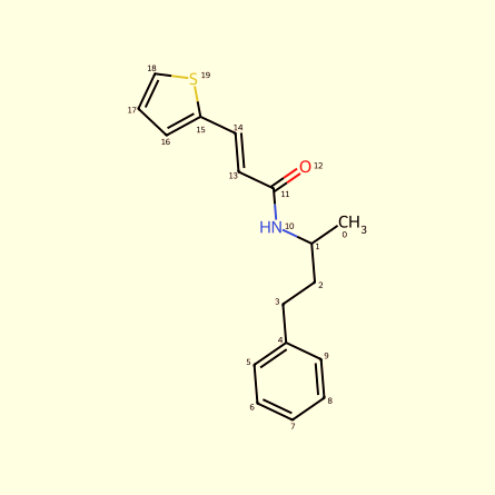 CC(CCc1ccccc1)NC(=O)C=Cc1cccs1